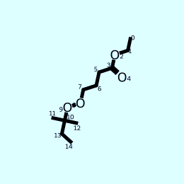 CCOC(=O)CCCOOC(C)(C)CC